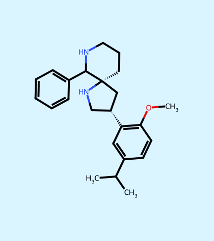 COc1ccc(C(C)C)cc1[C@@H]1CN[C@]2(CCCNC2c2ccccc2)C1